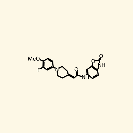 COc1ccc(N2CCC(=CC(=O)Nc3ccc4[nH]c(=O)oc4c3)CC2)cc1F